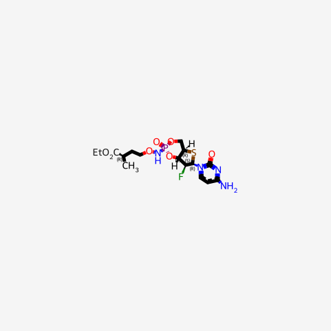 CCOC(=O)[C@H](C)CCONP1(=O)OC[C@H]2S[C@@H](n3ccc(N)nc3=O)[C@@H](F)[C@@H]2O1